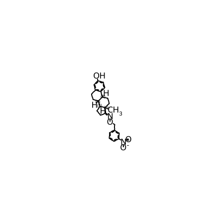 C[C@]12CC[C@@H]3c4ccc(O)cc4CC[C@H]3[C@@H]1CCC2=NOCc1cccc([N+](=O)[O-])c1